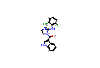 O=C(c1c[nH]c2ccccc12)N1CCN=C1Nc1c(Cl)cccc1Cl